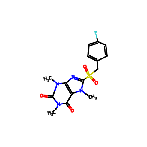 Cn1c(=O)c2c(nc(S(=O)(=O)Cc3ccc(F)cc3)n2C)n(C)c1=O